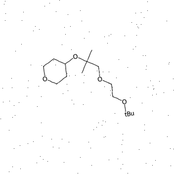 CC(C)(C)OCCOCC(C)(C)OC1CCOCC1